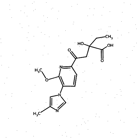 CCC(O)(CC(=O)c1ccc(-n2cnc(C)c2)c(OC)n1)C(=O)O